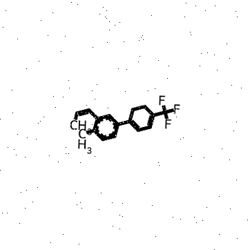 C/C=C\c1cc(C2=CC=C(C(F)(F)F)CC2)ccc1C